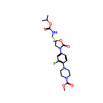 COC(=O)N1CCN(c2ccc(N3C[C@H](CNC(=S)OC(C)C)OC3=O)cc2F)CC1